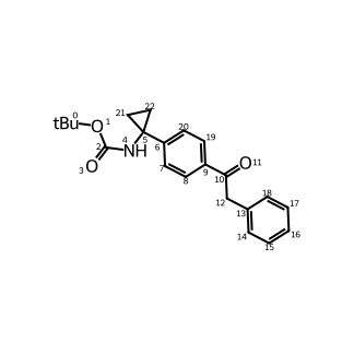 CC(C)(C)OC(=O)NC1(c2ccc(C(=O)Cc3ccccc3)cc2)CC1